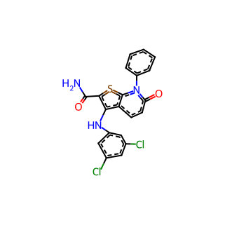 NC(=O)c1sc2c(ccc(=O)n2-c2ccccc2)c1Nc1cc(Cl)cc(Cl)c1